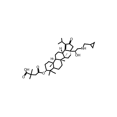 CC(C)C1=C2[C@H]3CC[C@@H]4[C@@]5(C)CC[C@H](OC(=O)CC(C)(C)C(=O)O)C(C)(C)C5CC[C@@]4(C)[C@]3(C)CC[C@@]2([C@H](O)CNCC2CC2)CC1=O